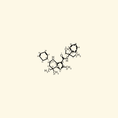 CCC(CC)(NC(=O)c1c(C)nn2c1N[C@@H](C1C=CC=CC1)CC2(C)C)c1ccccc1